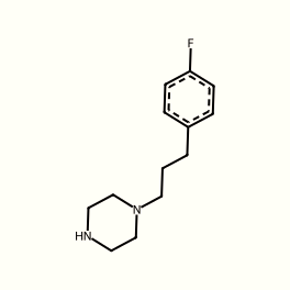 Fc1ccc(CCCN2CCNCC2)cc1